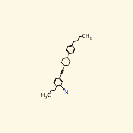 CCCCc1ccc([C@H]2CC[C@H](C#Cc3ccc(CCC)c(C#N)c3)CC2)cc1